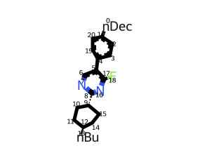 CCCCCCCCCCc1ccc(-c2cnc([C@H]3CC[C@H](CCCC)CC3)nc2F)cc1